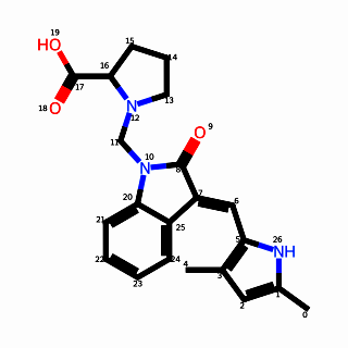 Cc1cc(C)c(C=C2C(=O)N(CN3CCCC3C(=O)O)c3ccccc32)[nH]1